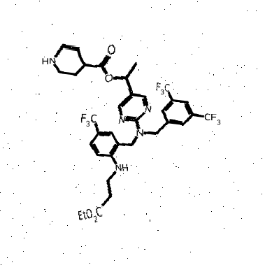 CCOC(=O)CCNc1ccc(C(F)(F)F)cc1CN(Cc1cc(C(F)(F)F)cc(C(F)(F)F)c1)c1ncc(C(C)OC(=O)C2CCNCC2)cn1